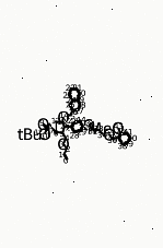 C=CCOCC1CN(C(=O)OC(C)(C)C)CC(OCc2ccc3ccccc3c2)C1c1ccc(OCCCOCc2ccccc2OC)cc1